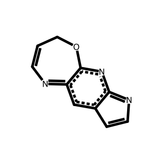 C1=CN=c2cc3c(nc2OC1)=NC=C3